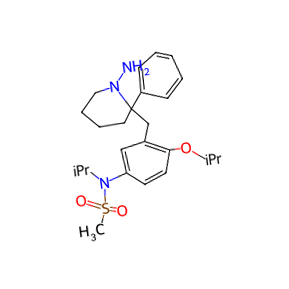 CC(C)Oc1ccc(N(C(C)C)S(C)(=O)=O)cc1CC1(c2ccccc2)CCCCN1N